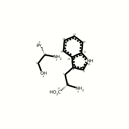 CC(C)[C@H](N)CO.N[C@@H](Cc1c[nH]c2ccccc12)C(=O)O